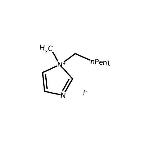 CCCCCC[N+]1(C)C=CN=C1.[I-]